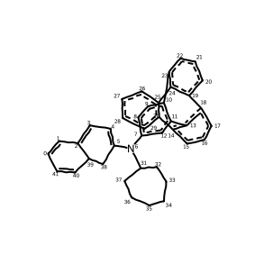 C1=CC2=CC=C(N(c3ccc4c(c3)-c3c5cccc3-c3cccc-4c3-c3ccccc3-5)C3CCCCCC3)CC2C=C1